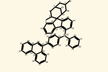 CC1CC2CC(C)C3(c4ccccc4-c4c(N(c5ccccc5)c5ccc(-c6cc7ccccc7c7ccccc67)cc5)cccc43)C(C1)C2